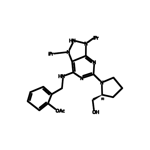 CC(=O)Oc1ccccc1CNc1nc(N2CCC[C@@H]2CO)nc2c1N(C(C)C)NN2C(C)C